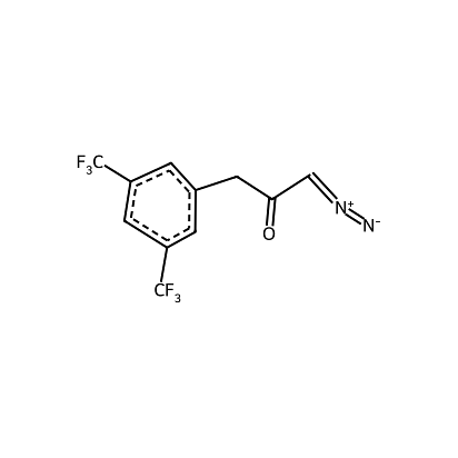 [N-]=[N+]=CC(=O)Cc1cc(C(F)(F)F)cc(C(F)(F)F)c1